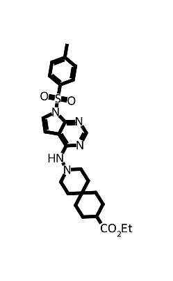 CCOC(=O)C1CCC2(CC1)CCN(Nc1ncnc3c1ccn3S(=O)(=O)c1ccc(C)cc1)CC2